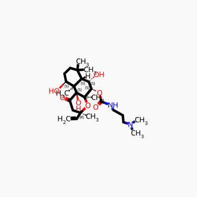 C=C[C@@]1(C)CC(=O)[C@]2(O)[C@@]3(C)[C@@H](O)CCC(C)(C)[C@@H]3[C@H](O)[C@H](OC(=O)NCCCN(C)C)[C@@]2(C)O1